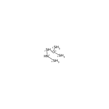 [SiH3]N[SiH3].[SiH3]O[SiH3]